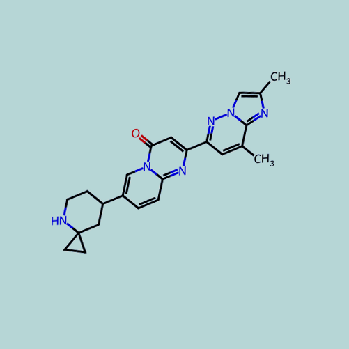 Cc1cn2nc(-c3cc(=O)n4cc(C5CCNC6(CC6)C5)ccc4n3)cc(C)c2n1